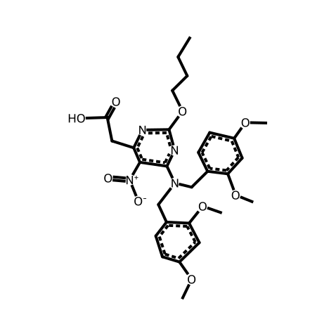 CCCCOc1nc(CC(=O)O)c([N+](=O)[O-])c(N(Cc2ccc(OC)cc2OC)Cc2ccc(OC)cc2OC)n1